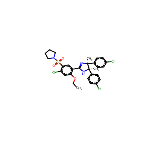 CCOc1cc(Cl)c(S(=O)(=O)N2CCCC2)cc1C1=N[C@@](C)(c2ccc(Cl)cc2)[C@@](C)(c2ccc(Cl)cc2)N1